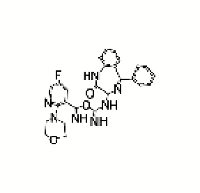 N=C(NC1N=C(c2ccccc2)c2ccccc2NC1=O)OC(=N)c1cc(F)cnc1N1CCOCC1